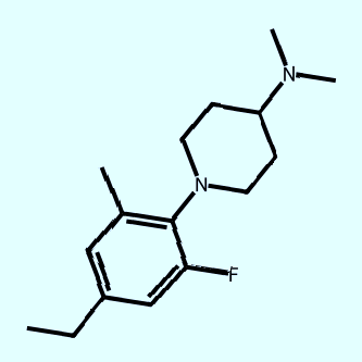 CCc1cc(C)c(N2CCC(N(C)C)CC2)c(F)c1